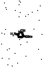 COc1ccc(N)nn1.Cl